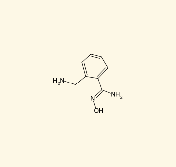 NCc1ccccc1C(N)=NO